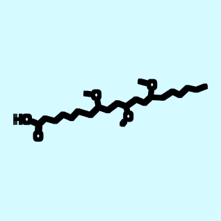 CCCCCCC(CCC(CCC(CCCCCCC(=O)O)OC)OC)OC